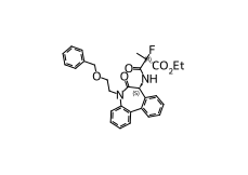 CCOC(=O)[C@](C)(F)C(=O)N[C@@H]1C(=O)N(CCOCc2ccccc2)c2ccccc2-c2ccccc21